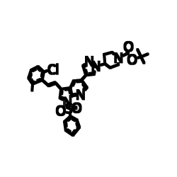 Cc1cccc(Cl)c1C=Cc1cn(S(=O)(=O)c2ccccc2)c2ncc(-c3cnn(C4CCN(C(=O)OC(C)(C)C)CC4)c3)cc12